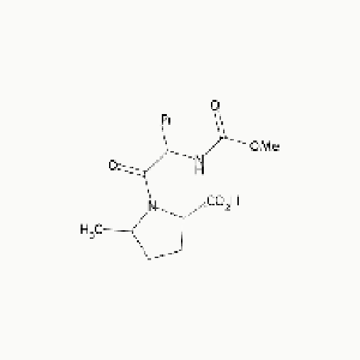 COC(=O)NC(C(=O)N1C(C)CC[C@H]1C(=O)O)C(C)C